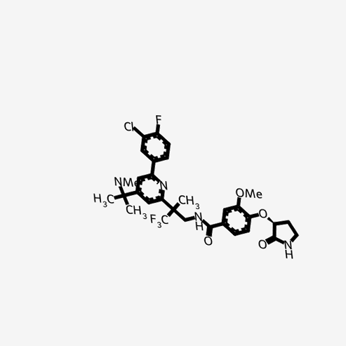 CNC(C)(C)c1cc(-c2ccc(F)c(Cl)c2)nc(C(C)(CNC(=O)c2ccc(O[C@H]3CCNC3=O)c(OC)c2)C(F)(F)F)c1